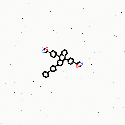 c1ccc(-c2ccc(-c3ccc4c(-c5ccc(-c6cnco6)cc5)c5ccccc5c(-c5ccc(-c6cnco6)cc5)c4c3)cc2)cc1